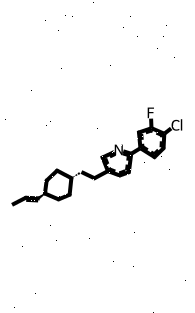 C/C=C/[C@H]1CC[C@H](CCc2ccc(-c3ccc(Cl)c(F)c3)nc2)CC1